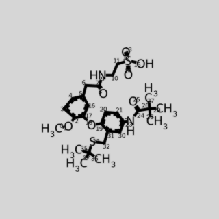 COc1ccc(CC(=O)NCCS(=O)(=O)O)cc1Oc1ccc(NC(=O)C(C)(C)C)cc1CSC(C)(C)C